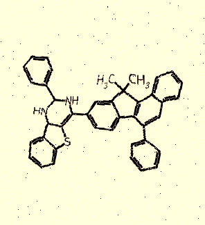 CC1(C)c2cc(C3=C4Sc5ccccc5C4NC(c4ccccc4)N3)ccc2-c2c(-c3ccccc3)cc3ccccc3c21